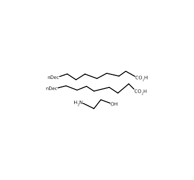 CCCCCCCCCCCCCCCCCC(=O)O.CCCCCCCCCCCCCCCCCC(=O)O.NCCO